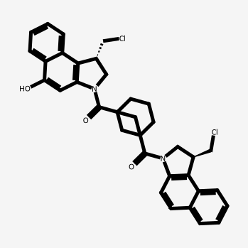 O=C(N1C[C@@H](CCl)c2c1c[c]c1ccccc21)C12CCCC(C(=O)N3C[C@@H](CCl)c4c3cc(O)c3ccccc43)(C1)C2